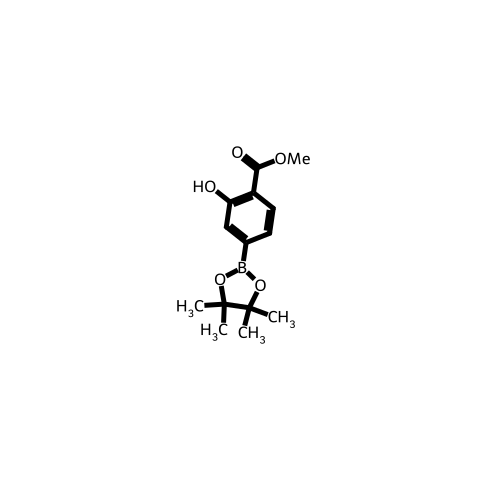 COC(=O)c1ccc(B2OC(C)(C)C(C)(C)O2)cc1O